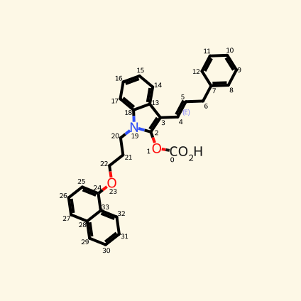 O=C(O)Oc1c(/C=C/Cc2ccccc2)c2ccccc2n1CCCOc1cccc2ccccc12